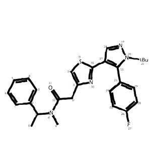 CC(c1ccccc1)N(C)C(=O)Cc1csc(-c2cnn(C(C)(C)C)c2-c2ccc(F)cc2)n1